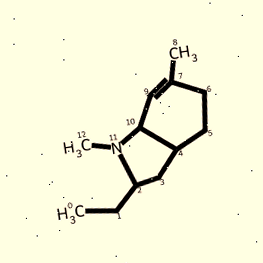 CCC1CC2CCC(C)=CC2N1C